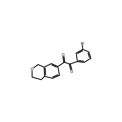 O=C(C(=O)c1ccc2c(c1)COCC2)c1cccc(Br)c1